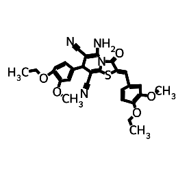 CCOc1ccc(C=c2sc3n(c2=O)C(N)=C(C#N)C(c2ccc(OCC)c(OC)c2)C=3C#N)cc1OC